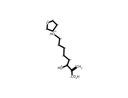 C1CCOC1.C=C(C(=O)O)C(O)CCCCCO